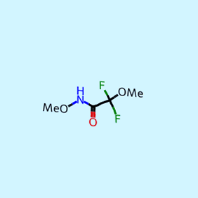 CONC(=O)C(F)(F)OC